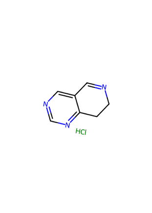 C1=NCCc2ncncc21.Cl